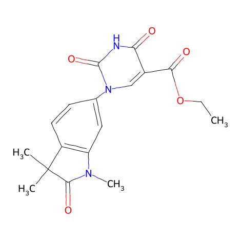 CCOC(=O)c1cn(-c2ccc3c(c2)N(C)C(=O)C3(C)C)c(=O)[nH]c1=O